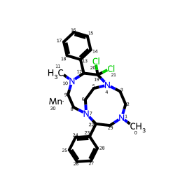 CN1CCN2CCN(CCN(C)C(c3ccccc3)C2(Cl)Cl)C(c2ccccc2)C1.[Mn]